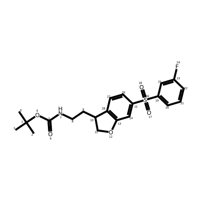 CC(C)(C)OC(=O)NCCC1COc2cc(S(=O)(=O)c3cccc(F)c3)ccc21